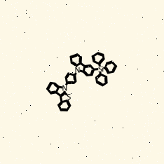 c1ccc([Si](c2ccccc2)(c2ccccc2)c2ccc3c(c2)c2ccccc2n3-c2ccc(-n3c4ccccc4c4c5ccccc5sc43)cc2)cc1